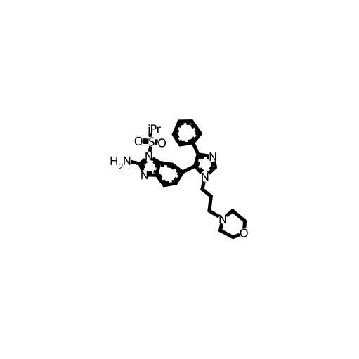 CC(C)S(=O)(=O)n1c(N)nc2ccc(-c3c(-c4ccccc4)ncn3CCCN3CCOCC3)cc21